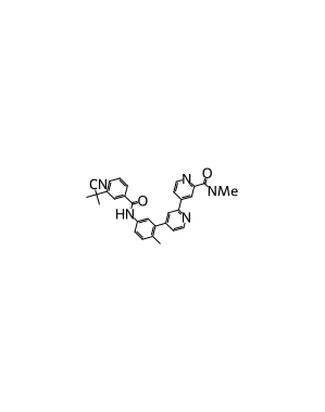 CNC(=O)c1cc(-c2cc(-c3cc(NC(=O)c4cccc(C(C)(C)C#N)c4)ccc3C)ccn2)ccn1